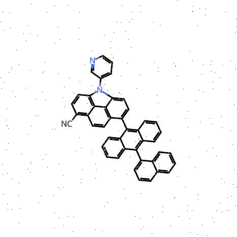 N#Cc1ccc2c3c1ccc1c(-c4c5ccccc5c(-c5cccc6ccccc56)c5ccccc45)ccc(c13)n2-c1cccnc1